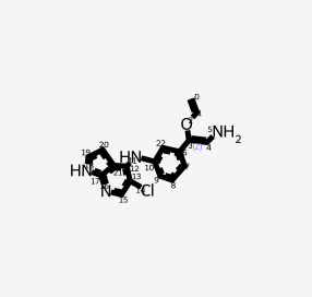 C=CO/C(=C\N)c1cccc(Nc2c(Cl)cnc3[nH]ccc23)c1